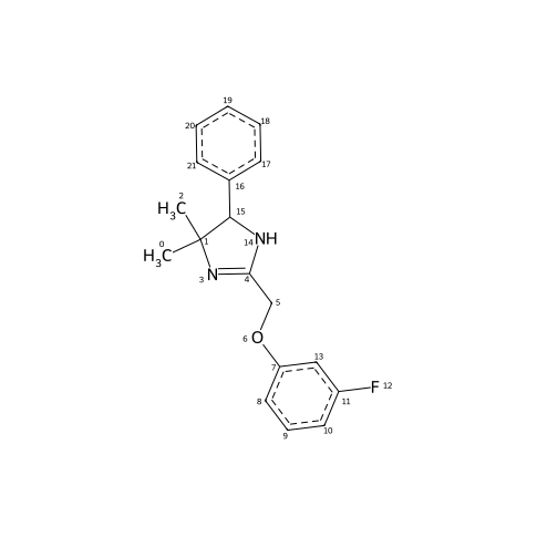 CC1(C)N=C(COc2cccc(F)c2)NC1c1ccccc1